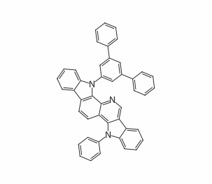 c1ccc(-c2cc(-c3ccccc3)cc(-n3c4ccccc4c4ccc5c(ncc6c7ccccc7n(-c7ccccc7)c65)c43)c2)cc1